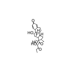 CCC(=O)C(O)C(=O)[C@@]1(O)[C@H](C)C[C@H]2[C@@H]3CCC4=CC(=O)C=C[C@]4(C)[C@@]3(F)[C@@H](O)C[C@@]21C